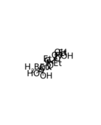 B[C@@H]1O[C@H](C[C@@](C)(CC)OP(C)(=O)C(C)(CC)C(C)(CC)OP(=O)(O)C(C)(O)CC)[C@@H](O)[C@H]1O